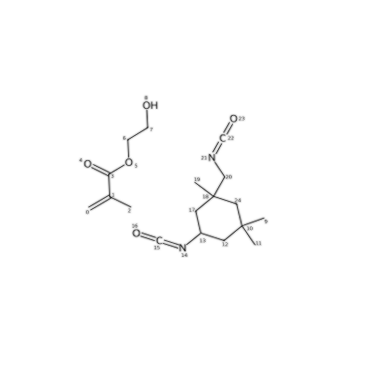 C=C(C)C(=O)OCCO.CC1(C)CC(N=C=O)CC(C)(CN=C=O)C1